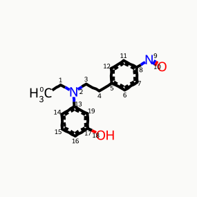 CCN(CCc1ccc(N=O)cc1)c1cccc(O)c1